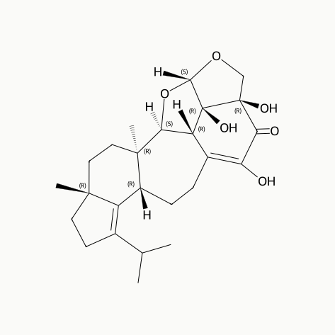 CC(C)C1=C2[C@H]3CCC4=C(O)C(=O)[C@@]5(O)CO[C@H]6O[C@@H]([C@@H]4[C@]65O)[C@]3(C)CC[C@@]2(C)CC1